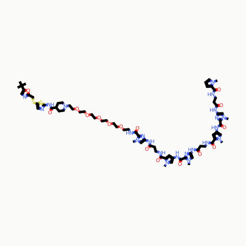 Cn1cc(NC(=O)c2nc(NC(=O)CCNC(=O)c3cc(NC(=O)c4nc(NC(=O)CCNC(=O)c5cccn5C)cn4C)cn3C)cn2C)cc1C(=O)NCCC(=O)Nc1cn(C)c(C(=O)NCCOCCOCCOCCOCCOCCN2CCC(C(=O)Nc3ncc(SCc4ncc(C(C)(C)C)o4)s3)CC2)n1